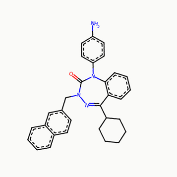 Nc1ccc(N2C(=O)N(Cc3ccc4ccccc4c3)N=C(C3CCCCC3)c3ccccc32)cc1